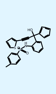 Cc1ccc(S(=O)(=O)Nc2ccccc2C(O)(C#Cc2cccs2)c2ccccc2)cc1